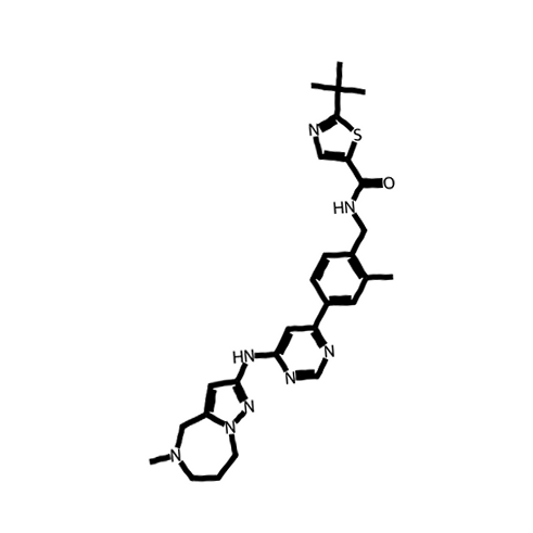 Cc1cc(-c2cc(Nc3cc4n(n3)CCCN(C)C4)ncn2)ccc1CNC(=O)c1cnc(C(C)(C)C)s1